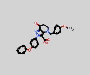 COc1ccc(CN2CCC(=O)c3nn(-c4ccc(Oc5ccccc5)cc4)c(C(=O)O)c32)cc1